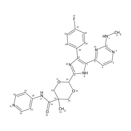 CNc1nccc(-c2[nH]c(C3OCC(C)(C(=O)Nc4ccncc4)CO3)nc2-c2ccc(F)cc2)n1